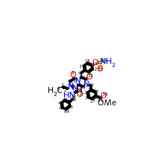 C=CCN1CC(=O)N2[C@@H](Cc3ccc(OS(N)=O)cc3)C(=O)N(Cc3cccc(C(=O)OC)c3)C[C@@H]2N1C(=O)NCc1ccccc1